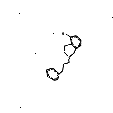 CC(C)c1cccc2c1CCN(CCCc1ccccc1)C2